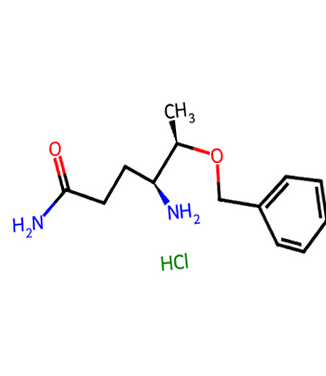 C[C@@H](OCc1ccccc1)[C@@H](N)CCC(N)=O.Cl